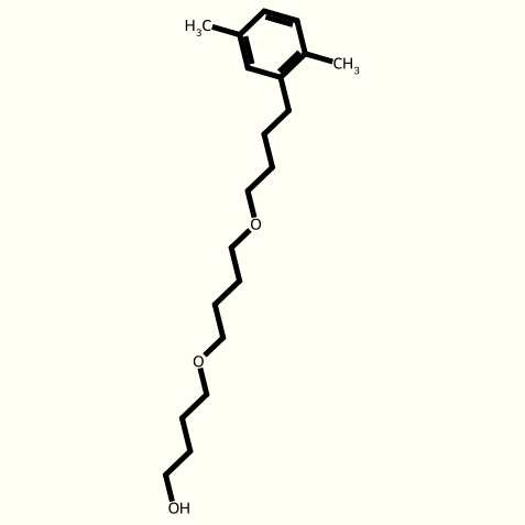 Cc1ccc(C)c(CCCCOCCCCOCCCCO)c1